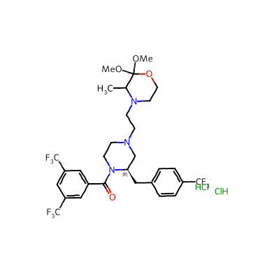 COC1(OC)OCCN(CCN2CCN(C(=O)c3cc(C(F)(F)F)cc(C(F)(F)F)c3)[C@H](Cc3ccc(C(F)(F)F)cc3)C2)C1C.Cl.Cl